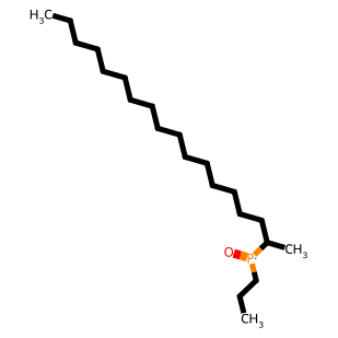 CCCCCCCCCCCCCCCCC(C)[P](=O)CCC